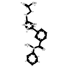 NN(C(=O)c1cccc(-c2nnc(SCC(=O)O)[nH]2)c1)c1ccccc1